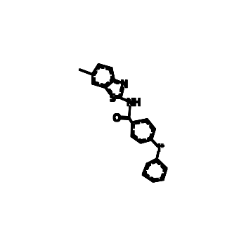 Cc1ccc2nc(NC(=O)c3ccc([I+]c4ccccc4)cc3)sc2c1